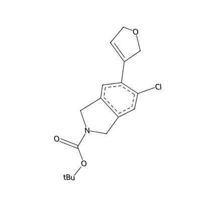 CC(C)(C)OC(=O)N1Cc2cc(Cl)c(C3=CCOC3)cc2C1